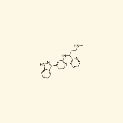 CNCCC(Nc1cc(-c2n[nH]c3ccccc23)ccn1)c1ccccn1